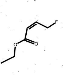 CCOC(=O)/C=C\CF